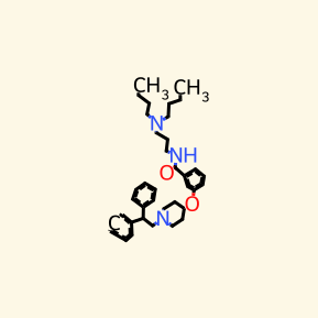 CCCCN(CCCC)CCCNC(=O)c1cccc(OC2CCN(CC(c3ccccc3)c3ccccc3)CC2)c1